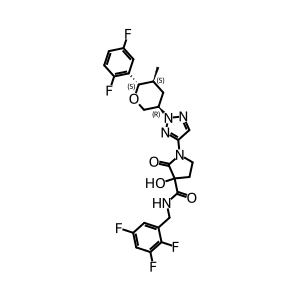 C[C@H]1C[C@@H](n2ncc(N3CCC(O)(C(=O)NCc4cc(F)cc(F)c4F)C3=O)n2)CO[C@@H]1c1cc(F)ccc1F